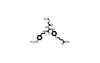 COc1ccc(CCNC(=O)C(NC(=O)CSC)Nc2ccc(OCCCC(=O)O)cc2)cc1